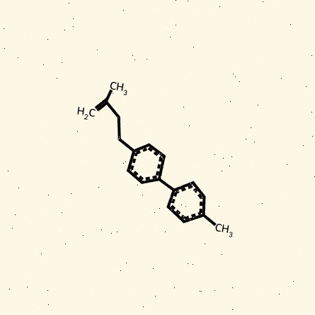 C=C(C)CCc1ccc(-c2ccc(C)cc2)cc1